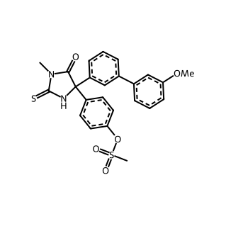 COc1cccc(-c2cccc(C3(c4ccc(OS(C)(=O)=O)cc4)NC(=S)N(C)C3=O)c2)c1